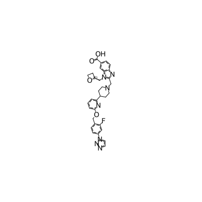 O=C(O)c1ccc2nc(CN3CCC(c4cccc(OCc5ccc(-n6ccnn6)cc5F)n4)CC3)n(C[C@@H]3CCO3)c2c1